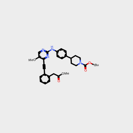 COC(=O)Cc1ccccc1C#Cc1nc(Nc2ccc(C3CCN(C(=O)OC(C)(C)C)CC3)cc2)ncc1OC